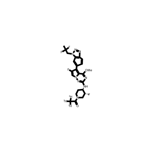 [2H]C([2H])([2H])C(=O)N1CC[C@H](Nc2nc(OC)c3c(-c4ccc5nnn(CC(C)(F)F)c5c4)c(F)cn3n2)[C@H](F)C1